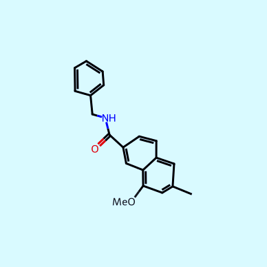 COc1cc(C)cc2ccc(C(=O)NCc3ccccc3)cc12